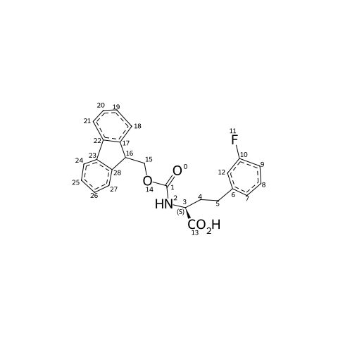 O=C(N[C@@H](CCc1cccc(F)c1)C(=O)O)OCC1c2ccccc2-c2ccccc21